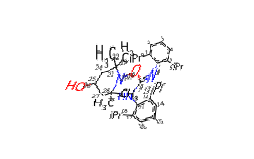 CC(C)c1cccc(C(C)C)c1/N=C(/Nc1c(C(C)C)cccc1C(C)C)ON1C(C)(C)CC(O)CC1(C)C